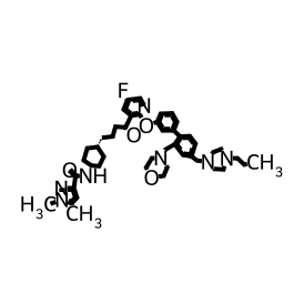 CCCN1CCN(Cc2ccc(-c3cccc(Oc4ncc(F)cc4C(=O)CCC[C@H]4CC[C@@H](NC(=O)c5cc(C)n(C)n5)CC4)c3)c(CN3CCOCC3)c2)CC1